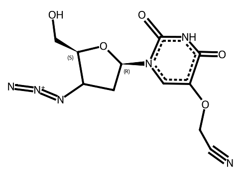 N#CCOc1cn([C@H]2CC(N=[N+]=[N-])[C@@H](CO)O2)c(=O)[nH]c1=O